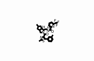 Cc1cccc(-c2sc(C)nc2C(=O)N2CC3CC(C)C[C@@H]3C2CNC(=O)c2cccc(C(F)(F)F)n2)c1